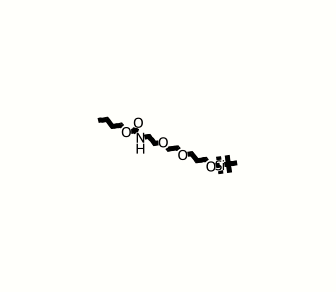 CCCCOC(=O)NCCOCCOCCCO[Si](C)(C)C(C)(C)C